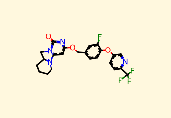 O=c1nc(OCc2ccc(Oc3ccc(C(F)(F)F)nc3)c(F)c2)cc2n1CC1CCCCN21